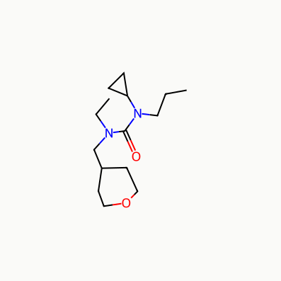 CCCN(C(=O)N(CC)CC1CCOCC1)C1CC1